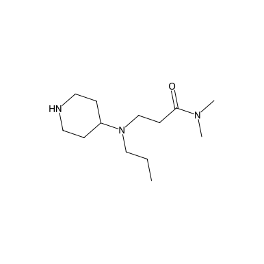 CCCN(CCC(=O)N(C)C)C1CCNCC1